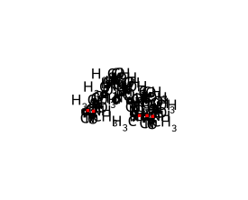 CC(Oc1ccccc1)C(=O)N[C@@H]1C(=O)N2[C@@H]1SC(C)(C)[C@@H]2C(=O)O.CC1(C)S[C@@H]2[C@H](N=CN3CCCCCC3)C(=O)N2[C@H]1C(=O)O.CCN1CCN(C(=O)N[C@@H](C(=O)N[C@@H]2C(=O)N3[C@@H]2SC(C)(C)[C@@H]3C(=O)O)c2ccccc2)C(=O)C1=O.Cc1onc(-c2c(Cl)cccc2Cl)c1C(=O)N[C@@H]1C(=O)N2[C@@H]1SC(C)(C)[C@@H]2C(=O)O.Cc1onc(-c2c(F)cccc2Cl)c1C(=O)N[C@@H]1C(=O)N2[C@@H]1SC(C)(C)[C@@H]2C(=O)O